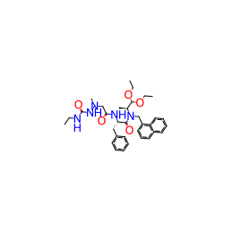 CCNC(=O)NN(C)CC(=O)N[C@@H](Cc1ccccc1)C(=O)N(Cc1cccc2ccccc12)[C@@H](C)C(OCC)OCC